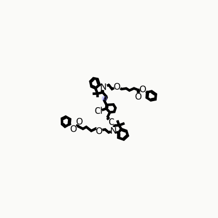 CC1(C)C(=C=CC2CCCC(/C=C/C3=[N+](CCOCCCCC(=O)Oc4ccccc4)c4ccccc4C3(C)C)=C2Cl)N(CCOCCCCC(=O)Oc2ccccc2)c2ccccc21